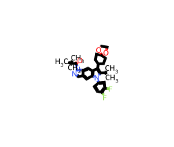 CC(C)c1c(C2CCC3(CC2)OCCO3)c2cc3c(cnn3C(=O)C(C)(C)C)cc2n1-c1ccc(F)c(F)c1